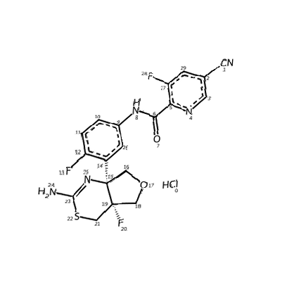 Cl.N#Cc1cnc(C(=O)Nc2ccc(F)c([C@]34COC[C@@]3(F)CSC(N)=N4)c2)c(F)c1